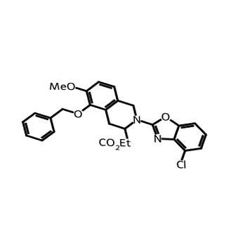 CCOC(=O)C1Cc2c(ccc(OC)c2OCc2ccccc2)CN1c1nc2c(Cl)cccc2o1